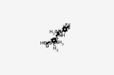 C/C(=N/Nc1ccc(C(F)(F)F)cc1)C(=N)CSc1ccc(SCC(=O)O)c(C)c1C